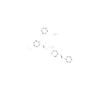 Cl.Cl.NCc1ccc(OCc2ccccc2)c(C2=CCN(C(=O)c3cncc(C=Cc4ccccc4)c3)CC2)c1